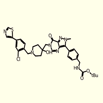 Cn1nc2c(=O)n(CC3(O)CCN(Cc4ccc(-c5cncs5)cc4Cl)CC3)cnc2c1-c1ccc(CNC(=O)OC(C)(C)C)cc1